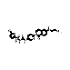 NCCNc1ccc2c(=O)n(-c3ccc(NC(=O)NS(=O)(=O)c4ccc(Cl)s4)cn3)ccc2c1